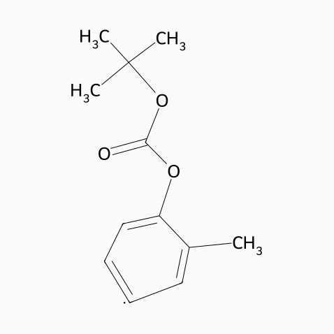 Cc1c[c]ccc1OC(=O)OC(C)(C)C